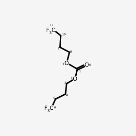 O=C(OCCCC(F)(F)F)OCCCC(F)(F)F